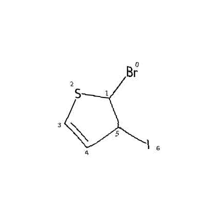 BrC1SC=CC1I